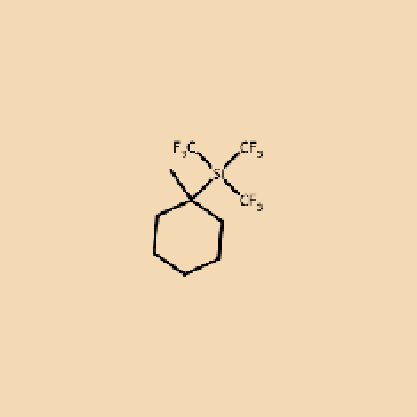 CC1([Si](C(F)(F)F)(C(F)(F)F)C(F)(F)F)CCCCC1